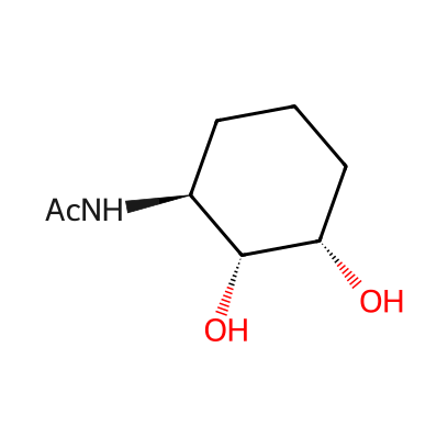 CC(=O)N[C@H]1CCC[C@H](O)[C@@H]1O